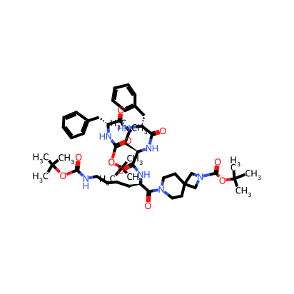 CC(C)C[C@@H](NC(=O)[C@@H](Cc1ccccc1)NC(=O)[C@@H](Cc1ccccc1)NC(=O)OC(C)(C)C)C(=O)N[C@H](CCCCNC(=O)OC(C)(C)C)C(=O)N1CCC2(CC1)CN(C(=O)OC(C)(C)C)C2